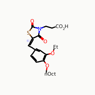 CCCCCCCCOc1ccc(/C=C2/SC(=O)N(CCC(=O)O)C2=O)cc1OCC